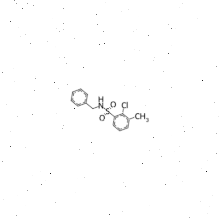 Cc1cccc(S(=O)(=O)NCc2ccccc2)c1Cl